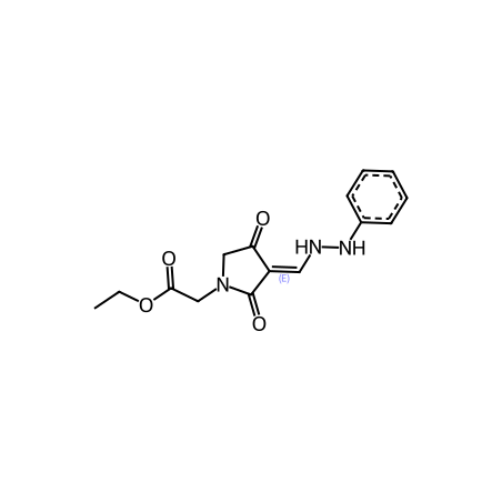 CCOC(=O)CN1CC(=O)/C(=C\NNc2ccccc2)C1=O